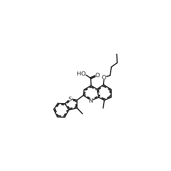 CCCCOc1ccc(C)c2nc(-c3sc4ccccc4c3C)cc(C(=O)O)c12